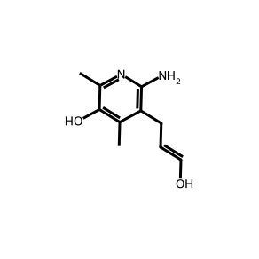 Cc1nc(N)c(C/C=C/O)c(C)c1O